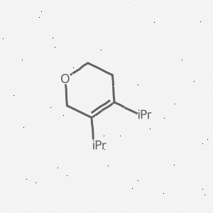 CC(C)C1=C(C(C)C)COCC1